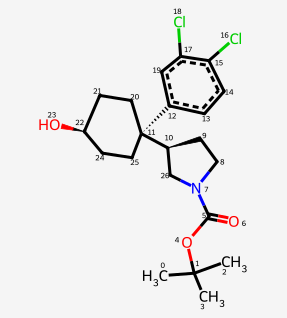 CC(C)(C)OC(=O)N1CC[C@H]([C@]2(c3ccc(Cl)c(Cl)c3)CC[C@H](O)CC2)C1